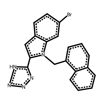 Brc1ccc2cc(-c3nnn[nH]3)n(Cc3cccc4ccccc34)c2c1